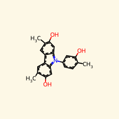 Cc1ccc(-n2c3cc(O)c(C)cc3c3cc(C)c(O)cc32)cc1O